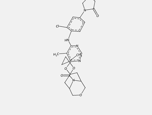 Cc1c(Nc2ccc(N3CCCC3=O)cc2Cl)ncnc1OC1CC2COCC(C1)N2C(=O)OC1(C)CC1